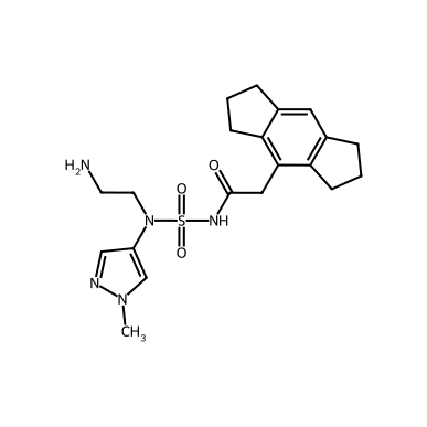 Cn1cc(N(CCN)S(=O)(=O)NC(=O)Cc2c3c(cc4c2CCC4)CCC3)cn1